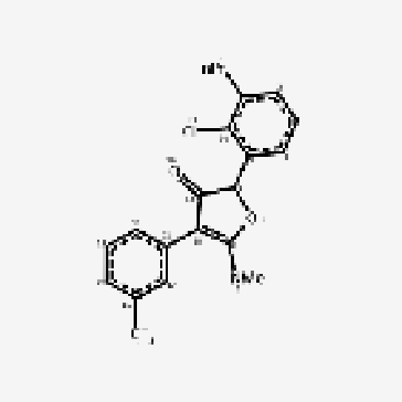 CCCc1cccc(C2OC(NC)=C(c3cccc(C(F)(F)F)c3)C2=O)c1Cl